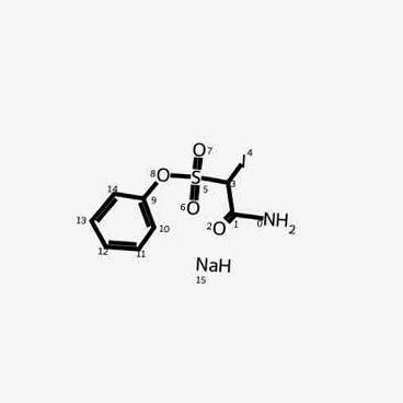 NC(=O)C(I)S(=O)(=O)Oc1ccccc1.[NaH]